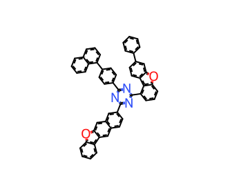 c1ccc(-c2ccc3c(c2)oc2cccc(-c4nc(-c5ccc(-c6cccc7ccccc67)cc5)nc(-c5ccc6cc7c(cc6c5)oc5ccccc57)n4)c23)cc1